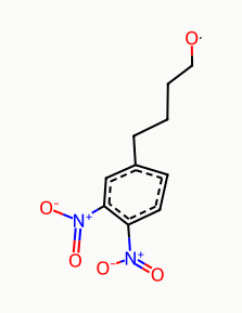 [O]CCCCc1ccc([N+](=O)[O-])c([N+](=O)[O-])c1